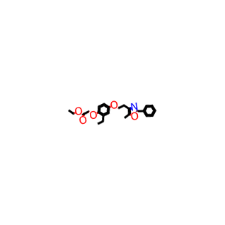 CCOC(=O)COc1ccc(OCCc2nc(-c3ccccc3)oc2C)cc1CC